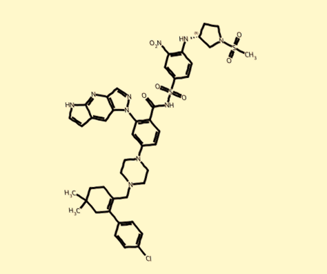 CC1(C)CCC(CN2CCN(c3ccc(C(=O)NS(=O)(=O)c4ccc(N[C@@H]5CCN(S(C)(=O)=O)C5)c([N+](=O)[O-])c4)c(-n4ncc5nc6[nH]ccc6cc54)c3)CC2)=C(c2ccc(Cl)cc2)C1